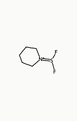 FS(F)=[N+]1CCCCC1